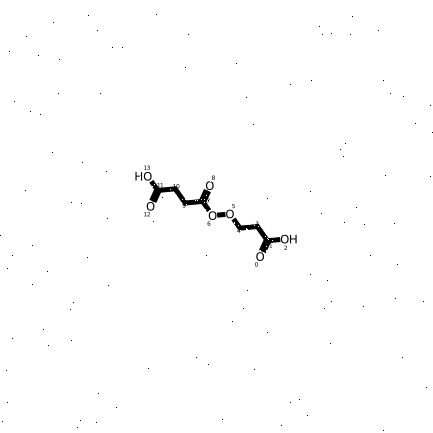 O=C(O)CCOOC(=O)CCC(=O)O